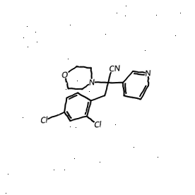 N#CC(Cc1ccc(Cl)cc1Cl)(c1cccnc1)N1CCOCC1